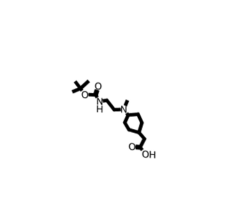 CN(CCNC(=O)OC(C)(C)C)C1CCC(CC(=O)O)CC1